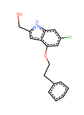 OCc1cc2c(OCCc3ccccc3)cc(Cl)cc2[nH]1